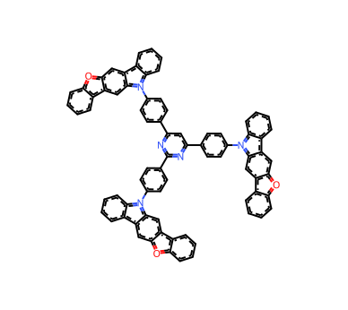 c1ccc2c(c1)oc1cc3c4ccccc4n(-c4ccc(-c5cc(-c6ccc(-n7c8ccccc8c8cc9oc%10ccccc%10c9cc87)cc6)nc(-c6ccc(-n7c8ccccc8c8cc9oc%10ccccc%10c9cc87)cc6)n5)cc4)c3cc12